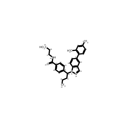 Cc1cc(C(F)(F)F)ccc1-c1ccc2c(cnn2C(CCC(F)(F)F)c2ccc(C(=O)NCCC(=O)O)cc2)c1